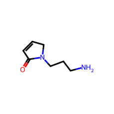 NCCCN1CC=CC1=O